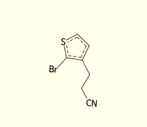 N#CCCc1ccsc1Br